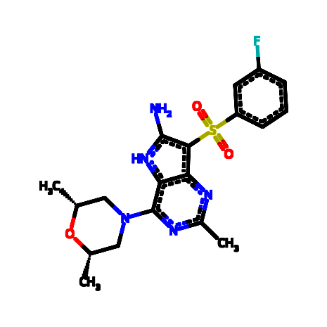 Cc1nc(N2C[C@@H](C)O[C@@H](C)C2)c2[nH]c(N)c(S(=O)(=O)c3cccc(F)c3)c2n1